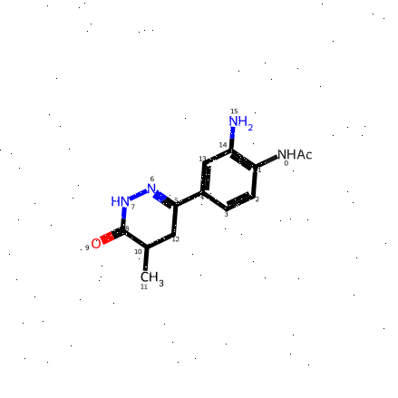 CC(=O)Nc1ccc(C2=NNC(=O)C(C)C2)cc1N